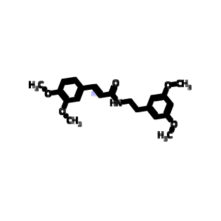 COc1cc(CCNC(=O)/C=C/c2ccc(OC)c(OC)c2)cc(OC)c1